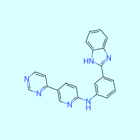 c1cc(Nc2ccc(-c3ccncn3)cn2)cc(-c2nc3ccccc3[nH]2)c1